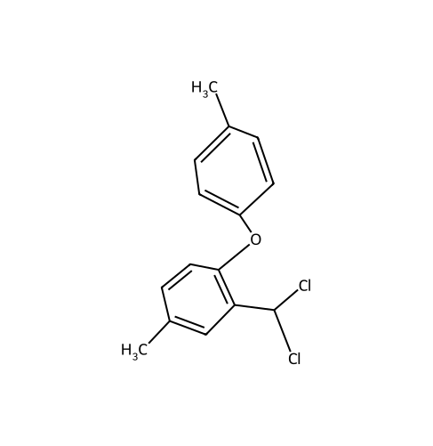 Cc1ccc(Oc2ccc(C)cc2C(Cl)Cl)cc1